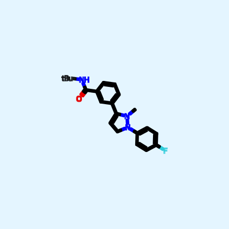 CN1C(c2cccc(C(=O)NC(C)(C)C)c2)=CCN1c1ccc(F)cc1